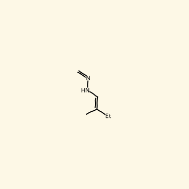 C=NN/C=C(\C)CC